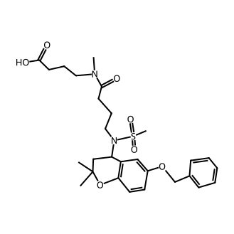 CN(CCCC(=O)O)C(=O)CCCN(C1CC(C)(C)Oc2ccc(OCc3ccccc3)cc21)S(C)(=O)=O